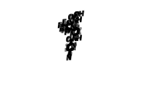 C[C@]1(c2nc(NC(=O)c3ccc(C#N)cn3)ccc2F)N=C(NC(=O)O)O[C@H](C(F)(F)F)C1(F)F